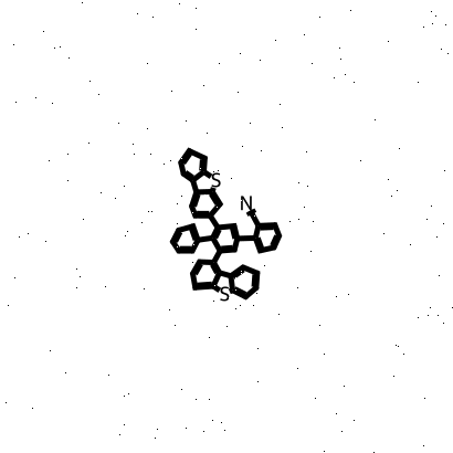 N#Cc1ccccc1-c1cc(-c2ccc3c(c2)sc2ccccc23)c(-c2ccccc2)c(-c2cccc3sc4ccccc4c23)c1